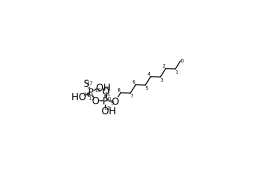 CCCCCCCCCOP(=O)(O)OP(O)(O)=S